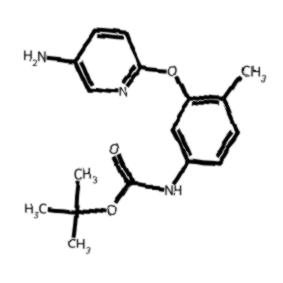 Cc1ccc(NC(=O)OC(C)(C)C)cc1Oc1ccc(N)cn1